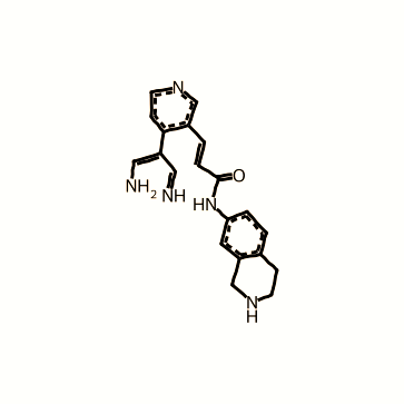 N=C/C(=C\N)c1ccncc1/C=C/C(=O)Nc1ccc2c(c1)CNCC2